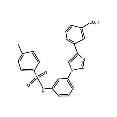 Cc1ccc(S(=O)(=O)Nc2cccc(-n3cc(-c4cc(C(=O)O)ccn4)nn3)c2)cc1